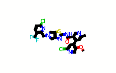 COc1cnc(Cl)cc1-c1cc(C)ncc1C(=O)Nc1nc2c(s1)CN(Cc1nc(Cl)ccc1C(F)F)C2